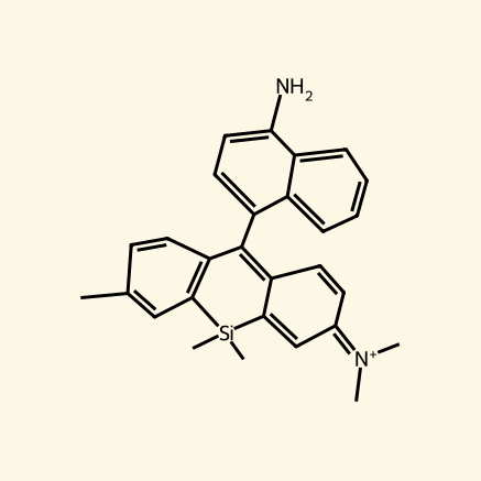 Cc1ccc2c(c1)[Si](C)(C)C1=CC(=[N+](C)C)C=CC1=C2c1ccc(N)c2ccccc12